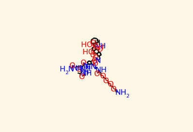 CC(=O)N[C@H](C(=O)N[C@@H](CCCNC(N)=O)C(=O)Nc1ccc(COC(=O)N(C)Cc2ccc3c(c2)C(=O)c2c(O)cc4c(c2C3=O)N[C@H]2C#C/C=C\C#C[C@@H](O)[C@@]43O[C@@]23[C@@H](C)O)c(C(=O)NCCNC(=O)CCOCCOCCOCCOCCN)c1)C(C)C